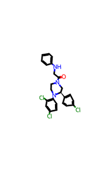 O=C(CNc1ccccc1)N1CCN(c2ccc(Cl)cc2Cl)[C@H](c2ccc(Cl)cc2)C1